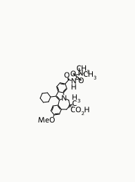 COc1ccc2c(c1)C[C@@](C)(C(=O)O)Cn1c-2c(C2CCCCC2)c2ccc(C(=O)NS(=O)(=O)N(C)C)cc21